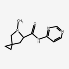 CN1CC2(CC2)CC1C(=O)Nc1ccncn1